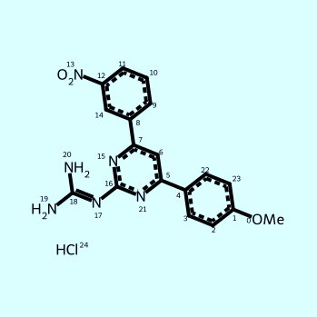 COc1ccc(-c2cc(-c3cccc([N+](=O)[O-])c3)nc(N=C(N)N)n2)cc1.Cl